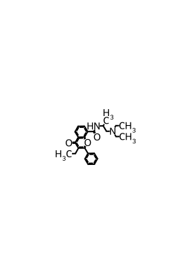 CCc1c(-c2ccccc2)oc2c(C(=O)NC(C)CN(CC)CC)cccc2c1=O